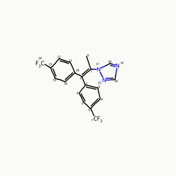 CC(=C(c1ccc(C(F)(F)F)cc1)c1ccc(C(F)(F)F)cc1)n1cncn1